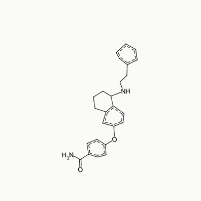 NC(=O)c1ccc(Oc2ccc3c(c2)CCCC3NCCc2ccccc2)cc1